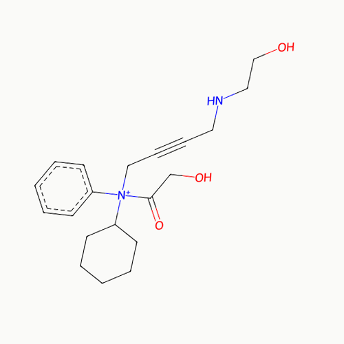 O=C(CO)[N+](CC#CCNCCO)(c1ccccc1)C1CCCCC1